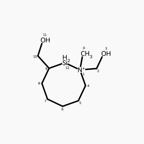 C[N+]1(CO)CCCCCC(CO)[SiH2]1